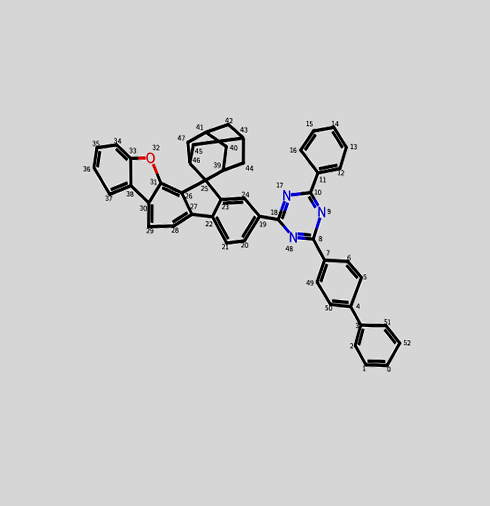 c1ccc(-c2ccc(-c3nc(-c4ccccc4)nc(-c4ccc5c(c4)C4(c6c-5ccc5c6oc6ccccc65)C5CC6CC(C5)CC4C6)n3)cc2)cc1